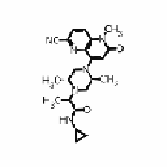 CC(C(=O)NC1CC1)N1C[C@H](C)N(c2cc(=O)n(C)c3ccc(C#N)nc23)C[C@H]1C